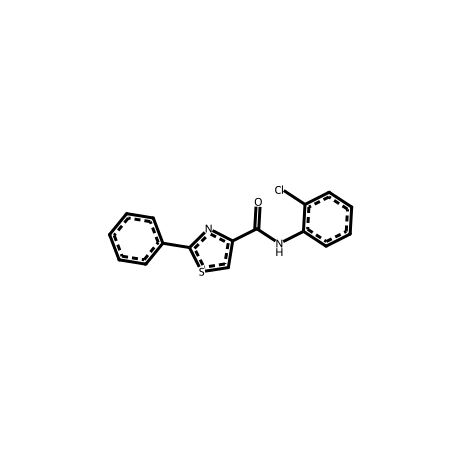 O=C(Nc1ccccc1Cl)c1csc(-c2ccccc2)n1